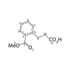 COC(=O)c1ccccc1CCC(=O)O